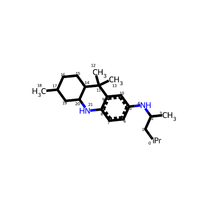 CC(C)CC(C)Nc1ccc2c(c1)C(C)(C)C1CCC(C)CC1N2